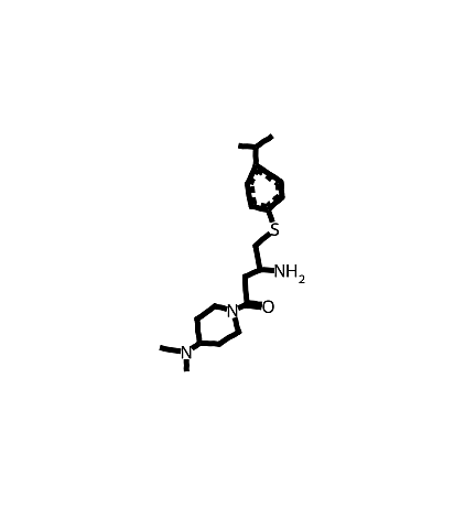 CC(C)c1ccc(SCC(N)CC(=O)N2CCC(N(C)C)CC2)cc1